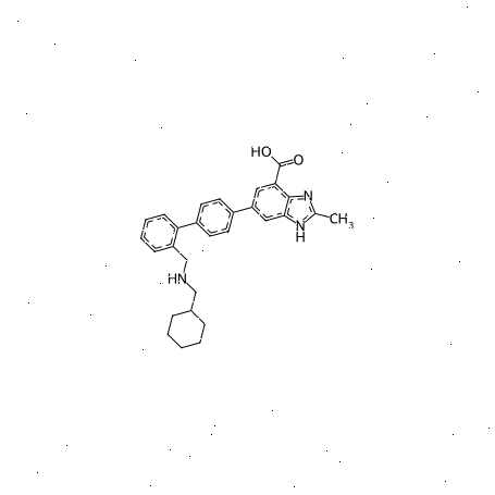 Cc1nc2c(C(=O)O)cc(-c3ccc(-c4ccccc4CNCC4CCCCC4)cc3)cc2[nH]1